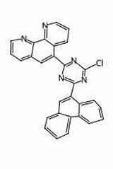 Clc1nc(-c2cc3ccccc3c3ccccc23)nc(-c2cc3cccnc3c3ncccc23)n1